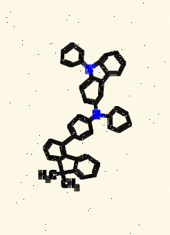 CC1(C)c2ccccc2-c2c(-c3ccc(N(c4ccccc4)c4ccc5c(c4)c4ccccc4n5-c4ccccc4)cc3)cccc21